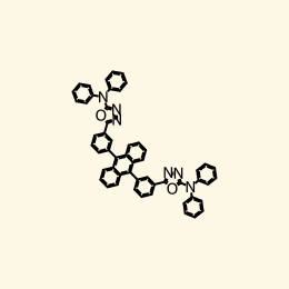 c1ccc(N(c2ccccc2)c2nnc(-c3cccc(-c4c5ccccc5c(-c5cccc(-c6nnc(N(c7ccccc7)c7ccccc7)o6)c5)c5ccccc45)c3)o2)cc1